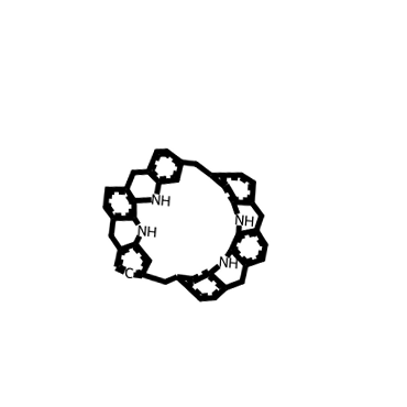 c1cc2c3cc1Cc1ccc4c(c1)Nc1c(ccc5c1Nc1cc(ccc1C5)Cc1ccc5c(c1)Nc1c(ccc(c1N3)C2)C5)C4